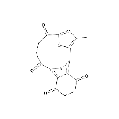 Cc1cc2sc1-c1sc(c3c1C(=O)CCC3=O)C(=O)CCC2=O